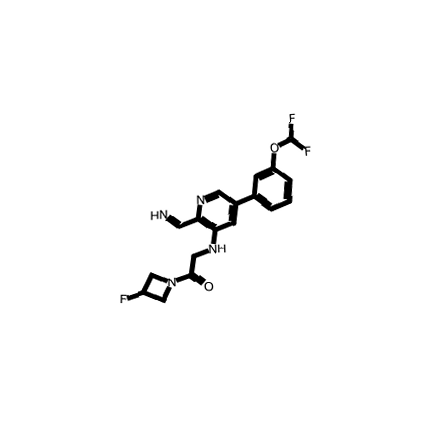 N=Cc1ncc(-c2cccc(OC(F)F)c2)cc1NCC(=O)N1CC(F)C1